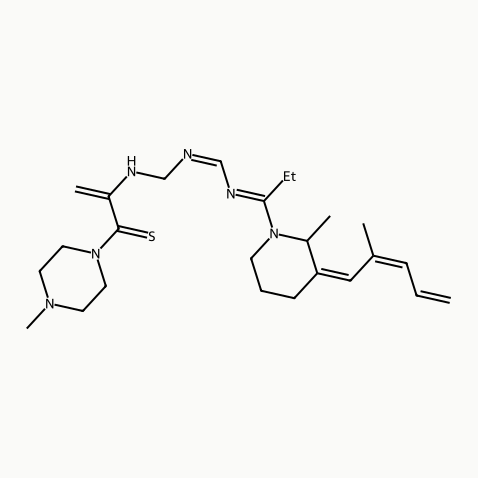 C=C/C=C(C)\C=C1\CCCN(/C(CC)=N/C=N\CNC(=C)C(=S)N2CCN(C)CC2)C1C